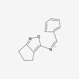 C(=N/c1onc2c1CCC2)/c1ccccc1